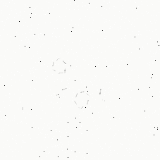 CC(C)(C)C1CCC(N(Cc2ccc(C(=O)NCCC(=O)O)cc2)C(=O)Oc2ccc(O)cc2)CC1